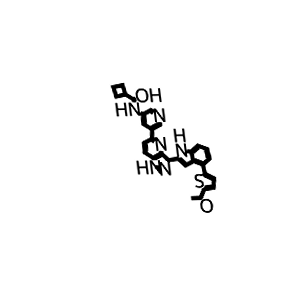 CC(=O)c1ccc(-c2cccc3[nH]c(-c4n[nH]c5ccc(-c6cncc(NC(O)C7CCC7)c6)nc45)cc23)s1